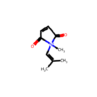 CC(C)=C[N+]1(C)C(=O)C=CC1=O